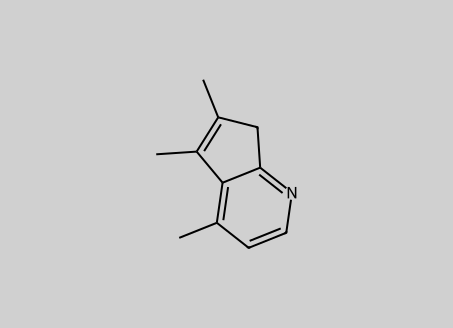 CC1=C(C)c2c(C)ccnc2C1